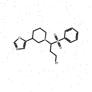 CC(C)CCC(N1CCCC(c2cnco2)C1)S(=O)(=O)c1ccccc1